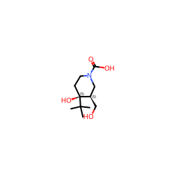 CC(C)(C)[C@]1(O)CCN(C(=O)O)C[C@H]1CO